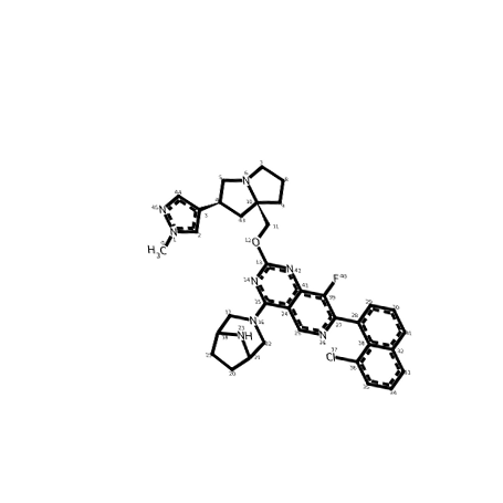 Cn1cc([C@H]2CN3CCC[C@]3(COc3nc(N4CC5CCC(C4)N5)c4cnc(-c5cccc6cccc(Cl)c56)c(F)c4n3)C2)cn1